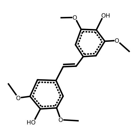 COc1cc(C=Cc2cc(OC)c(O)c(OC)c2)cc(OC)c1O